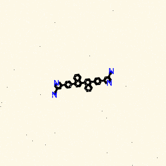 N#Cc1cncc(-c2ccc(-c3ccc(-c4ccc(-c5ccc(-c6cncc(C#N)c6)cc5)c5ccccc45)c4ccccc34)cc2)c1